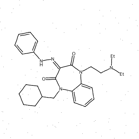 CCN(CC)CCn1c(=O)c(=NNc2ccccc2)c(=O)n(CC2CCCCC2)c2ccccc21